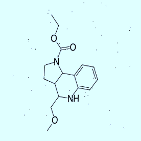 CCOC(=O)N1CCC2C(COC)Nc3ccccc3C21